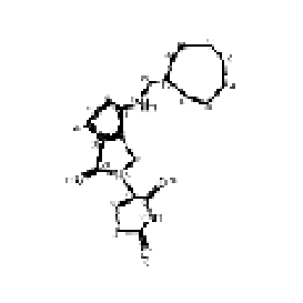 O=C1CCC(N2Cc3c(NCC4CCCCCCC4)cccc3C2=O)C(=O)N1